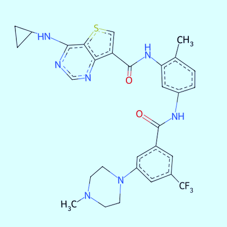 Cc1ccc(NC(=O)c2cc(N3CCN(C)CC3)cc(C(F)(F)F)c2)cc1NC(=O)c1csc2c(NC3CC3)ncnc12